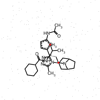 CC(=O)Nc1ccc([C@H](CCN2C3CCC2CC(n2c(C)nnc2C(C)C)C3)NC(=O)C2CCCCC2)s1